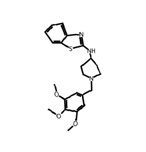 COc1cc(CN2CCC(Nc3nc4ccccc4s3)CC2)cc(OC)c1OC